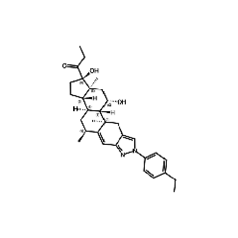 CCC(=O)[C@@]1(O)CC[C@H]2[C@@H]3C[C@H](C)C4=Cc5nn(-c6ccc(CC)cc6)cc5C[C@]4(C)[C@H]3[C@@H](O)C[C@@]21C